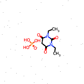 CCN1C(=O)CC(=O)N(CC)C1=O.O=P(O)(O)O